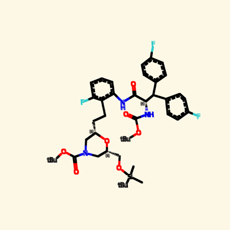 CC(C)(C)OC(=O)N[C@H](C(=O)Nc1cccc(F)c1CC[C@H]1CN(C(=O)OC(C)(C)C)C[C@@H](CO[Si](C)(C)C(C)(C)C)O1)C(c1ccc(F)cc1)c1ccc(F)cc1